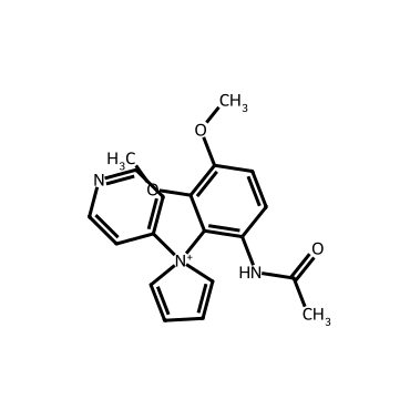 COc1ccc(NC(C)=O)c([N+]2(c3ccncc3)C=CC=C2)c1OC